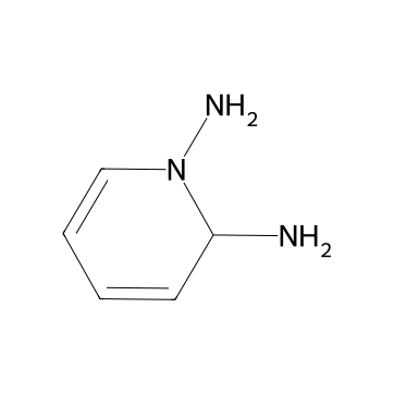 NC1C=CC=CN1N